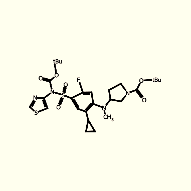 CN(c1cc(F)c(S(=O)(=O)N(C(=O)OC(C)(C)C)c2cscn2)cc1C1CC1)C1CCN(C(=O)OC(C)(C)C)C1